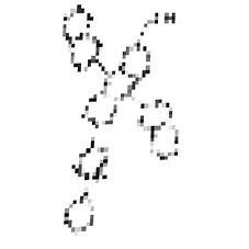 CCc1ccc2c(-c3ccc4ccccc4c3)c3cc(-c4cnc(-c5ccccc5)nc4)ccc3c(-c3ccc4ccccc4c3)c2c1